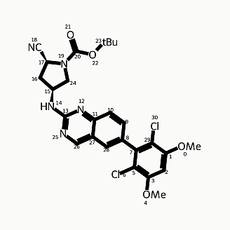 COc1cc(OC)c(Cl)c(-c2ccc3nc(N[C@H]4C[C@@H](C#N)N(C(=O)OC(C)(C)C)C4)ncc3c2)c1Cl